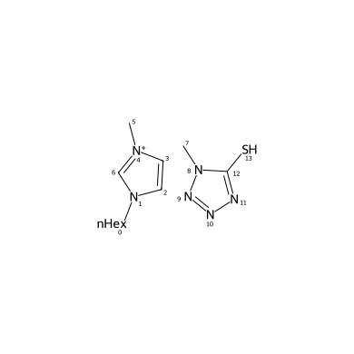 CCCCCCn1cc[n+](C)c1.Cn1nnnc1S